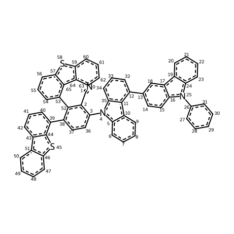 N#Cc1c(-n2c3ccccc3c3c(-c4ccc5c(c4)c4ccccc4n5-c4ccccc4)cccc32)ccc(-c2cccc3c2sc2ccccc23)c1-c1cccc2sc3ccccc3c12